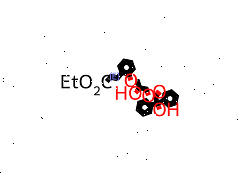 CCOC(=O)/C=C/c1ccccc1OCC(O)COC(=O)C(O)(c1ccccc1)c1ccccc1